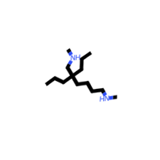 CCCC(CCC)(CCCCNC)CNC